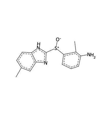 Cc1ccc2[nH]c([S+]([O-])c3cccc(N)c3C)nc2c1